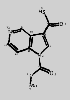 CC(C)(C)OC(=O)n1cc(C(=O)S)c2cnccc21